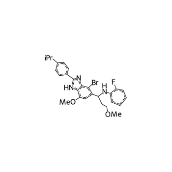 COCCC(Nc1ccccc1F)c1cc(OC)c2[nH]c(-c3ccc(C(C)C)cc3)nc2c1Br